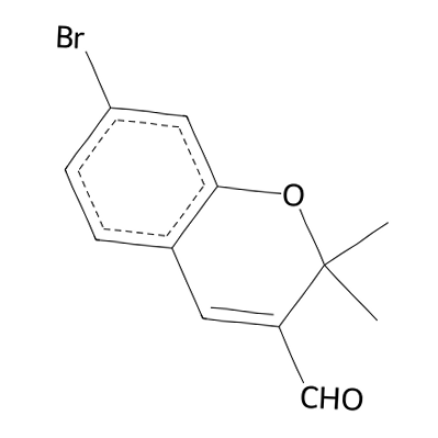 CC1(C)Oc2cc(Br)ccc2C=C1C=O